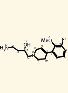 COc1c(F)cccc1C1=CCN(C[C@H](O)CCN)CC1